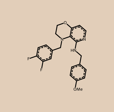 COc1ccc(CNc2nccc3c2N(Cc2ccc(F)c(F)c2)CCO3)cc1